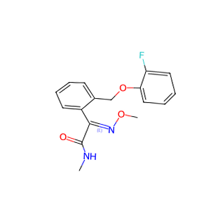 CNC(=O)/C(=N/OC)c1ccccc1COc1ccccc1F